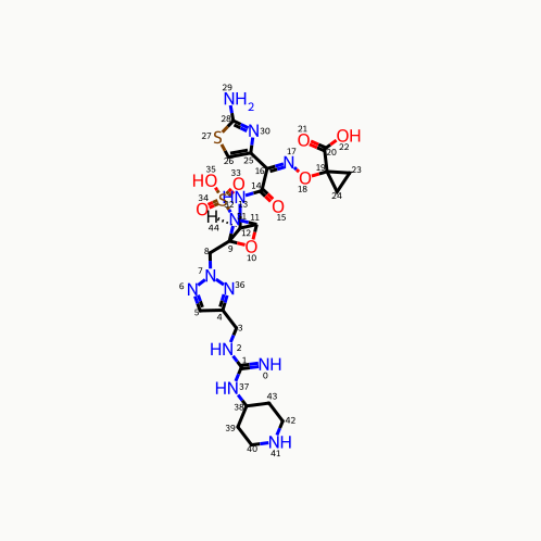 N=C(NCc1cnn(CC23OC([C@@H]2NC(=O)/C(=N\OC2(C(=O)O)CC2)c2csc(N)n2)N3S(=O)(=O)O)n1)NC1CCNCC1